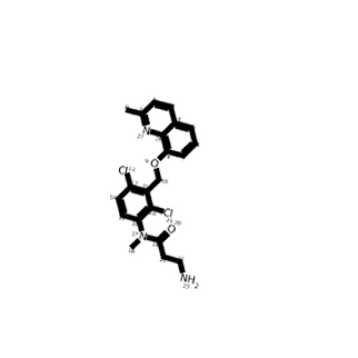 Cc1ccc2cccc(OCc3c(Cl)ccc(N(C)C(=O)CCN)c3Cl)c2n1